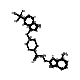 Cc1cccc2[nH]c(CNC(=O)C3CCN(Cc4c[nH]c5ccc(C(F)(F)F)cc45)CC3)nc12